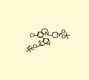 CC(C)(C)OC(=O)N1CCC(CN2CCCc3cc(Cl)cc(-c4ccnc5cc(CO[Si](C)(C)C(C)(C)C)sc45)c32)CC1